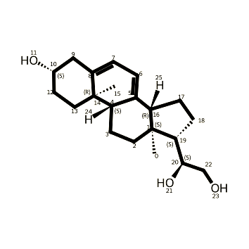 C[C@]12CC[C@H]3C(=CC=C4C[C@@H](O)CC[C@@]43C)[C@@H]1CC[C@@H]2[C@H](O)CO